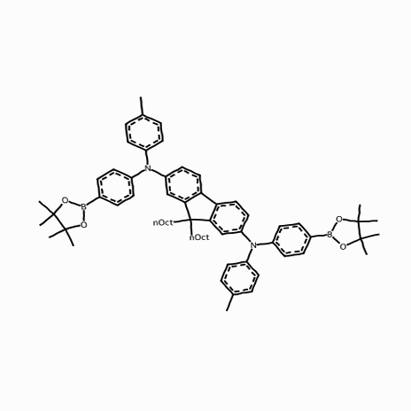 CCCCCCCCC1(CCCCCCCC)c2cc(N(c3ccc(C)cc3)c3ccc(B4OC(C)(C)C(C)(C)O4)cc3)ccc2-c2ccc(N(c3ccc(C)cc3)c3ccc(B4OC(C)(C)C(C)(C)O4)cc3)cc21